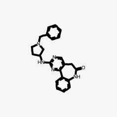 O=C1Cc2cnc(NC3CCN(Cc4ccccc4)C3)nc2-c2ccccc2N1